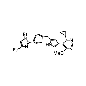 CCn1cc(C(F)(F)F)nc1-c1ccc(Cc2cc(-c3c(OC)ncnc3C3CC3)c[nH]2)cc1